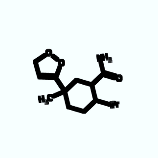 CC(C)C1CCC(C)(C2=CCOO2)CC1C(N)=O